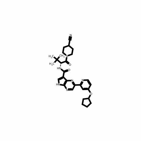 CC(C)(C)[C@@H](NC(=O)c1c[nH]c2ncc(-c3cc(OC4CCCC4)ccn3)nc12)C(=O)N1CCC(C#N)CC1